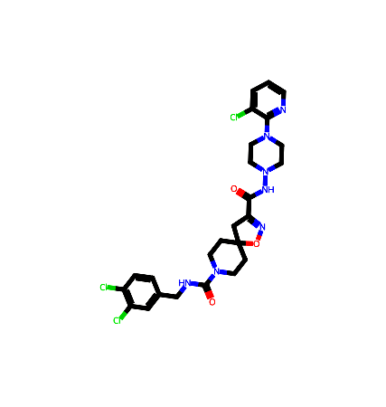 O=C(NN1CCN(c2ncccc2Cl)CC1)C1=NOC2(CCN(C(=O)NCc3ccc(Cl)c(Cl)c3)CC2)C1